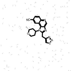 C[C@@H]1CC(n2c(Cc3csnn3)nc3cnc4ccc(C#N)cc4c32)CCO1